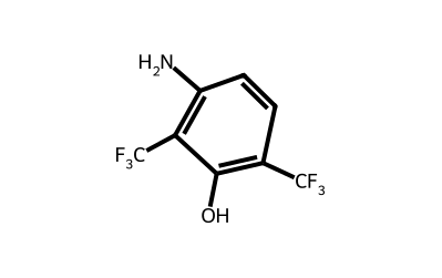 Nc1ccc(C(F)(F)F)c(O)c1C(F)(F)F